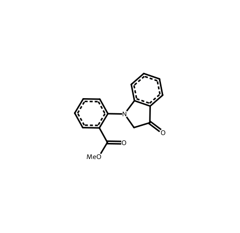 COC(=O)c1ccccc1N1CC(=O)c2ccccc21